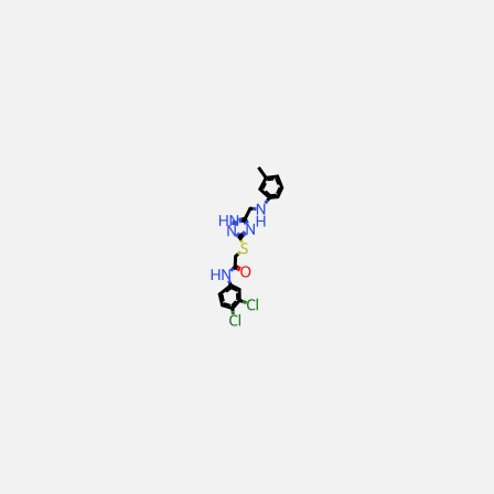 Cc1cccc(NCc2nc(SCC(=O)Nc3ccc(Cl)c(Cl)c3)n[nH]2)c1